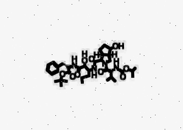 CCCC(NC(=O)C1[C@H]2CCC(O)[C@H]2CN1C(=O)[C@@H](NC(=O)OC(C)C)C(C)C)C(O)C(=O)N[C@@H](Cc1ccccc1)C(=O)OC(C)(C)C